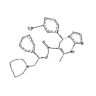 CC1=C(C(=O)OC(CN2CCCCC2)c2ccccc2)C(c2cccc([N+](=O)[O-])c2)n2ccnc2N1